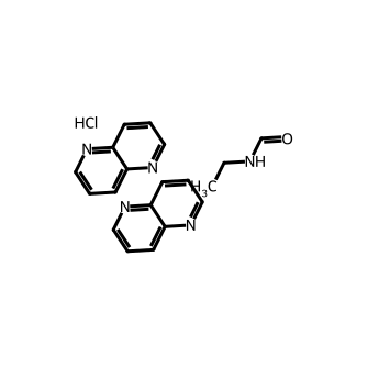 CCNC=O.Cl.c1cnc2cccnc2c1.c1cnc2cccnc2c1